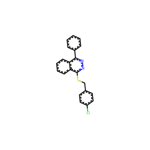 Clc1ccc(CSc2nnc(-c3ccccc3)c3ccccc23)cc1